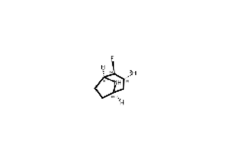 [2H][C@@H]1C[C@H]2CC[C@H](N2)[C@H]1F